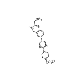 CCOC(=O)N1CCN(c2ncc(-c3cccc(CN(C)C(=S)CN)c3)cn2)CC1